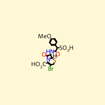 COc1ccc(C(C(=O)NC2C(=O)N3C(C(=O)O)=C(Br)CS[C@H]23)S(=O)(=O)O)cc1